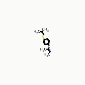 C=C(C)CSc1ccc(C/C(C)=C/C)cc1